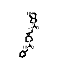 O=C(NCC1CC12CCN(C(=O)NCc1ccccc1)CC2)N1C=C2C=CNC=C2C1